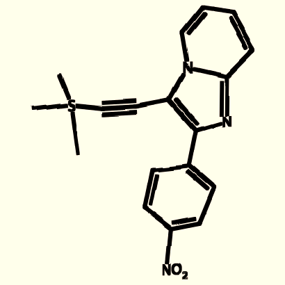 CS(C)(C)C#Cc1c(-c2ccc([N+](=O)[O-])cc2)nc2ccccn12